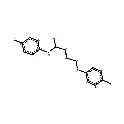 Cc1ccc(SCCCC(C)Sc2ccc(C)cc2)cc1